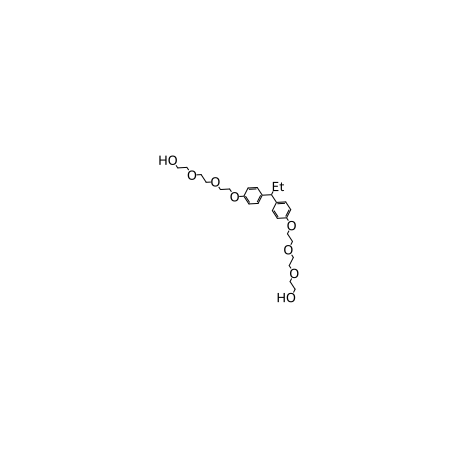 CCC(c1ccc(OCCOCCOCCO)cc1)c1ccc(OCCOCCOCCO)cc1